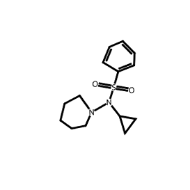 O=S(=O)(c1ccccc1)N(C1CC1)N1CCCCC1